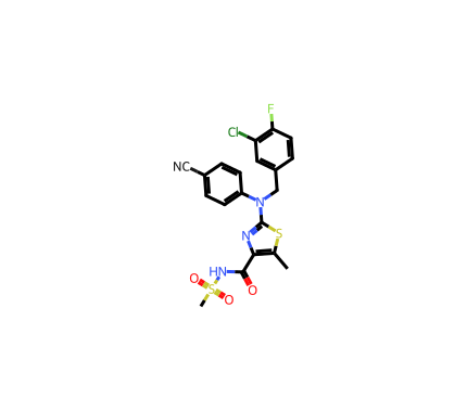 Cc1sc(N(Cc2ccc(F)c(Cl)c2)c2ccc(C#N)cc2)nc1C(=O)NS(C)(=O)=O